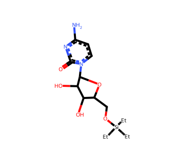 CC[Si](CC)(CC)OCC1OC(n2ccc(N)nc2=O)C(O)C1O